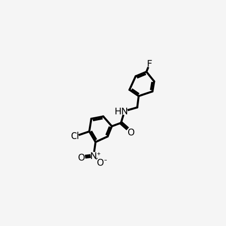 O=C(NCc1ccc(F)cc1)c1ccc(Cl)c([N+](=O)[O-])c1